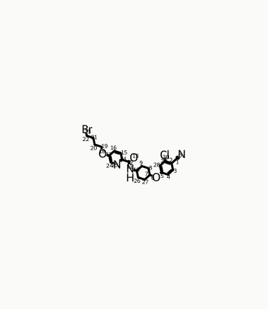 N#Cc1ccc(OC2CCC(NC(=O)c3ccc(OCCCCBr)cn3)CC2)cc1Cl